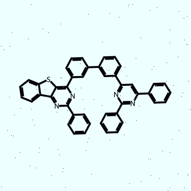 c1ccc(-c2cc(-c3cccc(-c4cccc(-c5nc(-c6ccccc6)nc6c5sc5ccccc56)c4)c3)nc(-c3ccccc3)n2)cc1